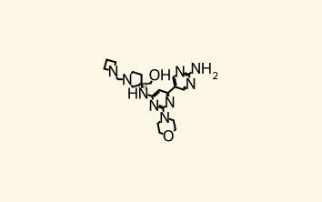 Nc1ncc(-c2cc(N[C@@]3(CO)CCN(CN4CCC4)C3)nc(N3CCOCC3)n2)cn1